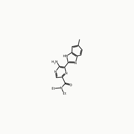 CCN(CC)C(=O)c1cnc(N)c(-c2nc3ccc(C)cc3[nH]2)n1